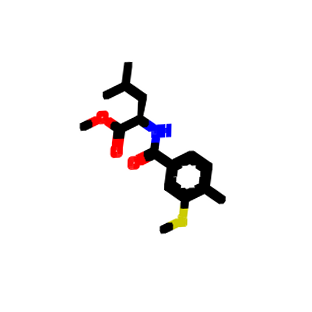 COC(=O)[C@@H](CC(C)C)NC(=O)c1ccc(C)c(SC)c1